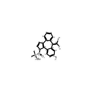 CC(C)(C)[N+](C)(C)[Si](=O)C1C=CC2=C1c1ccccc1C(=C(F)F)c1ccccc12.[Ti]